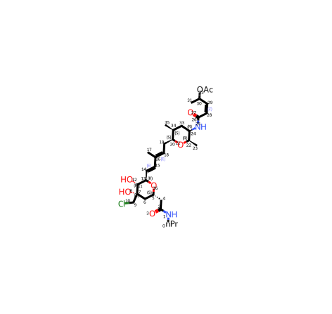 CCCNC(=O)C[C@@H]1C[C@@](O)(CCl)[C@H](O)[C@@H](/C=C/C(C)=C/C[C@@H]2O[C@H](C)[C@H](NC(=O)/C=C\C(C)OC(C)=O)C[C@@H]2C)O1